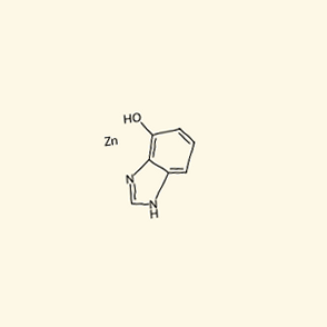 Oc1cccc2[nH]cnc12.[Zn]